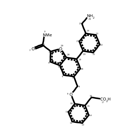 CNC(=O)c1cc2cc(COc3ccccc3CC(=O)O)cc(-c3cccc(CN)c3)c2o1